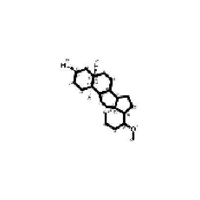 COC1CCC[C@]23CCC4C(CC[C@H]5C[C@H](O)CC[C@]45C)C2CCC13